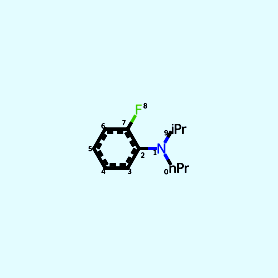 CCCN(c1ccccc1F)C(C)C